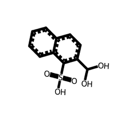 O=S(=O)(O)c1c(C(O)O)ccc2ccccc12